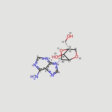 Nc1ncnc2c1ncn2[C@@H]1O[C@@]2(CO)COC1C2O